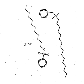 CCCCCCCCCCCCCCCC[N+](C)(C)Cc1ccccc1.CCCCCCCCCCCCOS(=O)(=O)c1ccccc1.[Cl-].[Na]